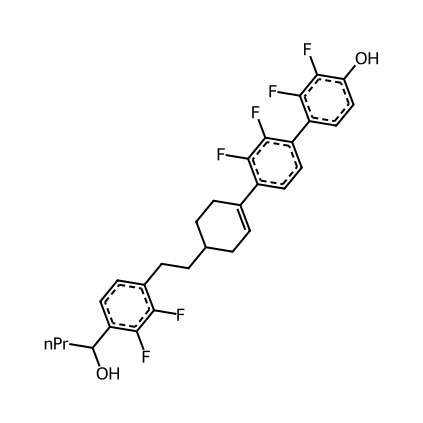 CCCC(O)c1ccc(CCC2CC=C(c3ccc(-c4ccc(O)c(F)c4F)c(F)c3F)CC2)c(F)c1F